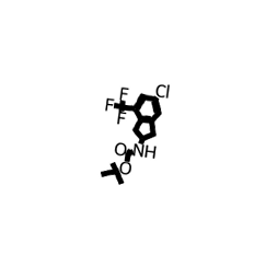 CC(C)(C)OC(=O)NC1Cc2cc(Cl)cc(C(F)(F)F)c2C1